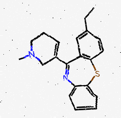 CCc1ccc2c(c1)C(C1=CCCN(C)C1)=Nc1ccccc1S2